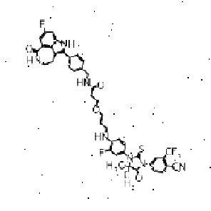 CC1(C)C(=O)N(c2ccc(C#N)c(C(F)(F)F)c2)C(=S)N1c1ccc(NCCCOCCC(=O)NCc2ccc(-c3[nH]c4cc(F)cc5c4c3CCNC5=O)cc2)c(F)c1